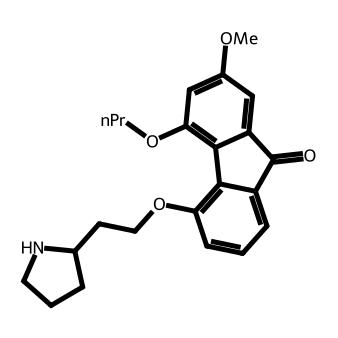 CCCOc1cc(OC)cc2c1-c1c(OCCC3CCCN3)cccc1C2=O